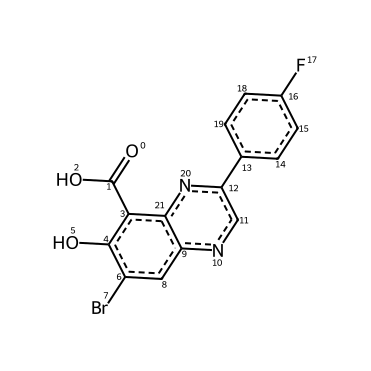 O=C(O)c1c(O)c(Br)cc2ncc(-c3ccc(F)cc3)nc12